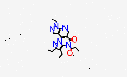 CCC(=O)n1c(=O)c2cnc3c(cnn3CC)c2n2nc(CC)c(CC)c12